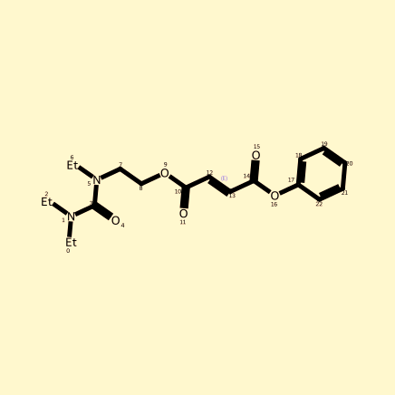 CCN(CC)C(=O)N(CC)CCOC(=O)/C=C/C(=O)Oc1ccccc1